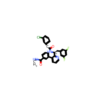 CNC(=O)c1cccc(-c2cccnc2[C@H](Cc2cc(F)cc(F)c2)NC(=O)Cc2cccc(Cl)c2)c1